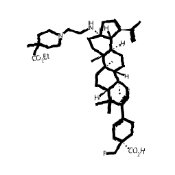 C=C(C)[C@@H]1CC[C@]2(NCCN3CCC(C)(C(=O)OCC)CC3)CC[C@]3(C)[C@H](CC[C@@H]4[C@@]5(C)CC=C(C6=CC[C@@](CF)(C(=O)O)CC6)C(C)(C)[C@@H]5CC[C@]43C)[C@@H]12